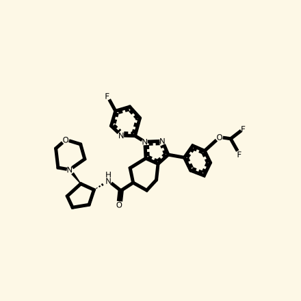 O=C(N[C@@H]1CCC[C@H]1N1CCOCC1)C1CCc2c(-c3cccc(OC(F)F)c3)nn(-c3ccc(F)cn3)c2C1